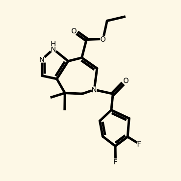 CCOC(=O)C1=CN(C(=O)c2ccc(F)c(F)c2)CC(C)(C)c2cn[nH]c21